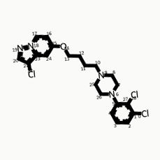 Clc1cccc(N2CCN(CCCCOc3ccn4ncc(Cl)c4c3)CC2)c1Cl